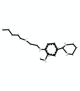 CCCCCCCCOc1ccc(C2SCCCS2)cc1OC